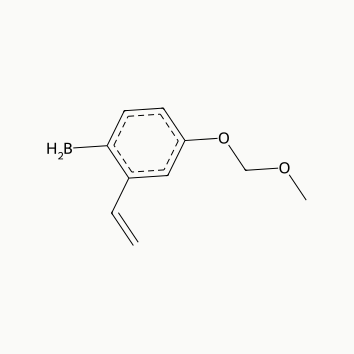 Bc1ccc(OCOC)cc1C=C